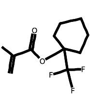 C=C(C)C(=O)OC1(C(F)(F)F)CCCCC1